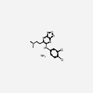 CN(C)CCc1nc2nonc2nc1Nc1ccc(Cl)c(Cl)c1.N